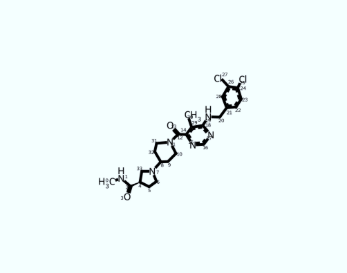 CNC(=O)[C@@H]1CCN(C2CCN(C(=O)c3ncnc(NCc4ccc(Cl)c(Cl)c4)c3C)CC2)C1